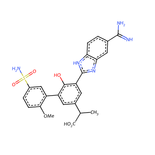 COc1ccc(S(N)(=O)=O)cc1-c1cc(C(C)C(=O)O)cc(-c2nc3cc(C(=N)N)ccc3[nH]2)c1O